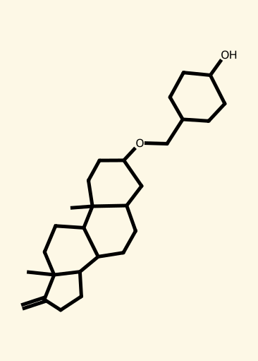 C=C1CCC2C3CCC4CC(OCC5CCC(O)CC5)CCC4(C)C3CCC12C